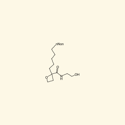 CCCCCCCCCCCCCCC1(C(=O)NCCO)CCO1